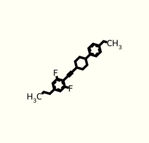 CCCc1cc(F)c(C#CC2CCC(c3ccc(CC)cc3)CC2)c(F)c1